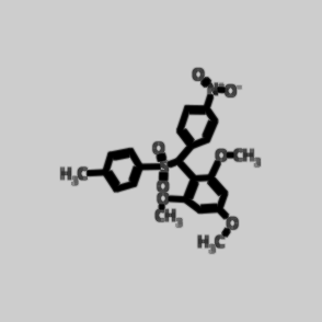 COc1cc(OC)c(C(c2ccc([N+](=O)[O-])cc2)S(=O)(=O)c2ccc(C)cc2)c(OC)c1